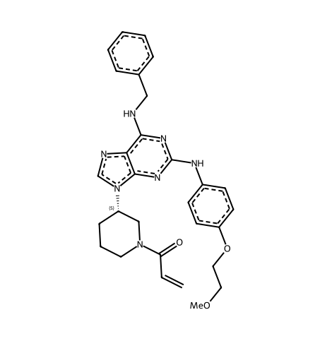 C=CC(=O)N1CCC[C@H](n2cnc3c(NCc4ccccc4)nc(Nc4ccc(OCCOC)cc4)nc32)C1